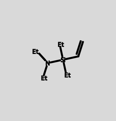 C=C[Si](CC)(CC)N(CC)CC